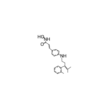 CC(C)=C(CCNc1ccc(/C=C/C(=O)NO)cc1)c1ccccc1C